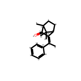 CC(=C1C(=O)C2(C)CCC1C2(C)C)c1ccccc1